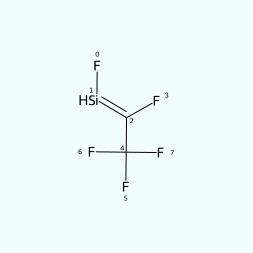 F[SiH]=C(F)C(F)(F)F